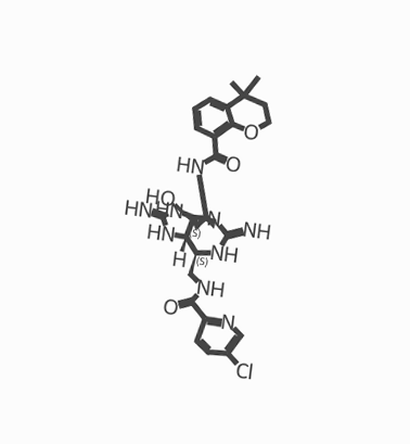 CC1(C)CCOc2c(C(=O)NC3CN4C(=N)N[C@@H](CNC(=O)c5ccc(Cl)cn5)[C@@H]5NC(=N)NC54[C@@H]3O)cccc21